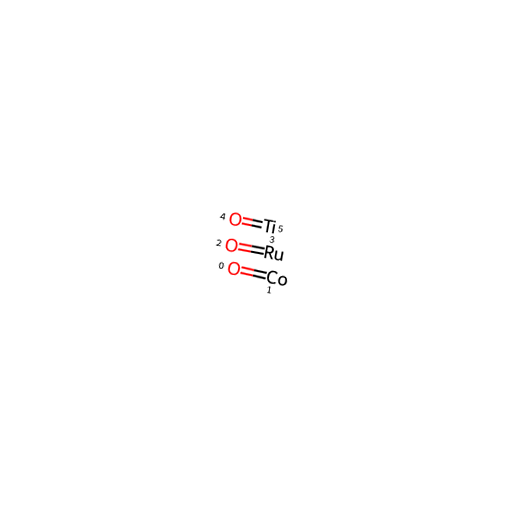 [O]=[Co].[O]=[Ru].[O]=[Ti]